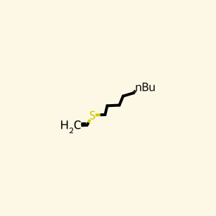 C=CSCCCCCCCCC